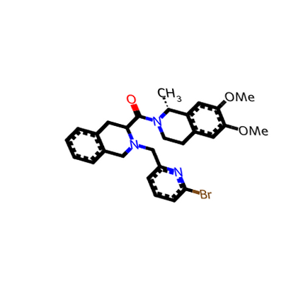 COc1cc2c(cc1OC)[C@@H](C)N(C(=O)C1Cc3ccccc3CN1Cc1cccc(Br)n1)CC2